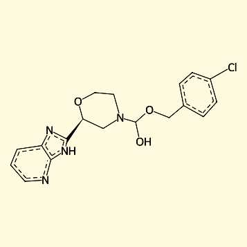 OC(OCc1ccc(Cl)cc1)N1CCO[C@H](c2nc3cccnc3[nH]2)C1